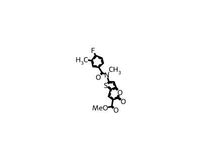 COC(=O)c1cc2sc(N(C)C(=O)c3ccc(F)c(C)c3)cc2oc1=O